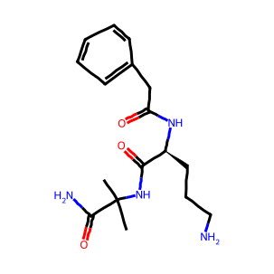 CC(C)(NC(=O)[C@H](CCCN)NC(=O)Cc1ccccc1)C(N)=O